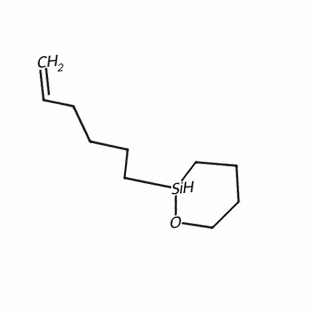 C=CCCCC[SiH]1CCCCO1